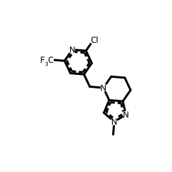 Cn1cc2c(n1)CCCN2Cc1cc(Cl)nc(C(F)(F)F)c1